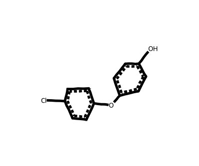 Oc1ccc(Oc2[c]cc(Cl)cc2)cc1